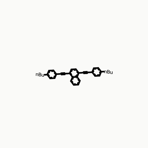 CCCCc1ccc(C#Cc2ccc(C#Cc3ccc(CCCC)cc3)c3ccccc23)cc1